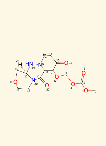 COC(=O)OCOc1c2n(ccc1=O)N[C@@H]1COCCN1C2=O